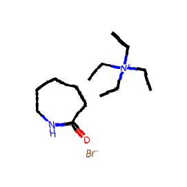 CC[N+](CC)(CC)CC.O=C1CCCCCN1.[Br-]